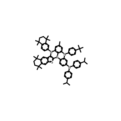 Cc1cc2c3c(c1)N(c1ccc4c(c1)C(C)(C)CCC4(C)C)c1c(sc4cc5c(cc14)C(C)(C)CCC5(C)C)B3c1ccc(N(c3ccc(C(C)C)cc3)c3ccc(C(C)C)cc3)cc1N2c1ccc(C(C)(C)C)cc1